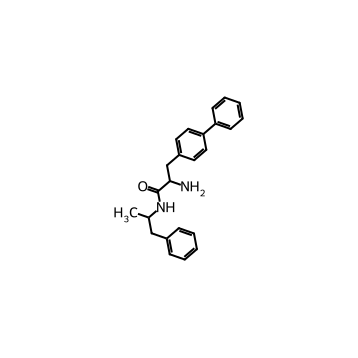 CC(Cc1ccccc1)NC(=O)C(N)Cc1ccc(-c2ccccc2)cc1